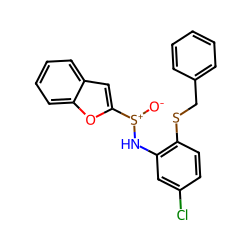 [O-][S+](Nc1cc(Cl)ccc1SCc1ccccc1)c1cc2ccccc2o1